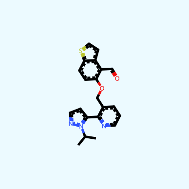 CC(C)n1nccc1-c1ncccc1COc1ccc2sccc2c1C=O